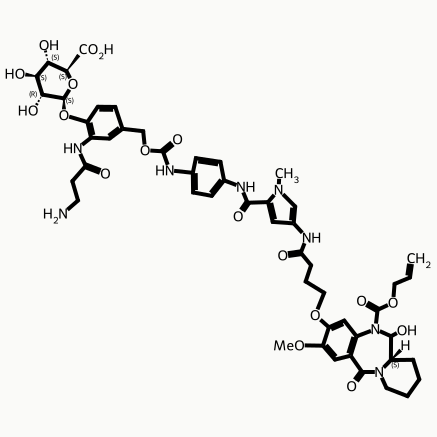 C=CCOC(=O)N1c2cc(OCCCC(=O)Nc3cc(C(=O)Nc4ccc(NC(=O)OCc5ccc(O[C@@H]6O[C@H](C(=O)O)[C@@H](O)[C@H](O)[C@H]6O)c(NC(=O)CCN)c5)cc4)n(C)c3)c(OC)cc2C(=O)N2CCCC[C@H]2C1O